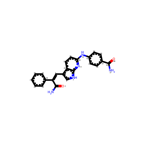 NC(=O)/C(=C\c1c[nH]c2nc(Nc3ccc(C(N)=O)cc3)ccc12)c1ccccc1